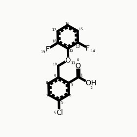 O=C(O)c1cc(Cl)ccc1COc1c(F)cccc1F